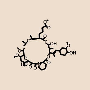 COC(=O)C=CCC1/C=C(\C)CC(C)CC(OC)C2OC(O)(C(=O)C(=O)N3CCCCC3C(=O)OC(C(C)=CC3CCC(O)C(OC)C3)C(C)C(O)CC1=O)C(C)CC2OC